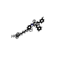 Cc1cccc(C2=CN3C(=O)/C(=C/c4ccc(OCCCCCCS(=O)(=O)O)c(Cl)c4)N=C3C(Cc3ccccc3)=N2)c1